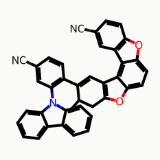 CC1Cc2oc3ccc4oc5ccc(C#N)cc5c4c3c2C=C1c1ccc(C#N)cc1-n1c2ccccc2c2ccccc21